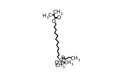 C=C(C)C(=O)OCCCCCCCCCCCC[Si](OC)(OC)OCCC